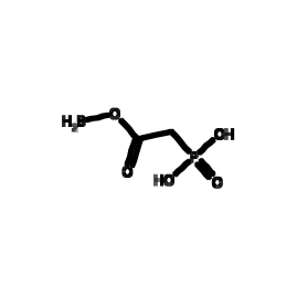 BOC(=O)CP(=O)(O)O